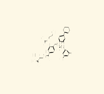 CCCOC(C)=O.O=C(NCC(O)C(=O)O)c1ccc(CN(C(=O)Nc2cc(Cl)cc(Cl)c2)c2ccc(C3=CCCCC3)cc2)cc1